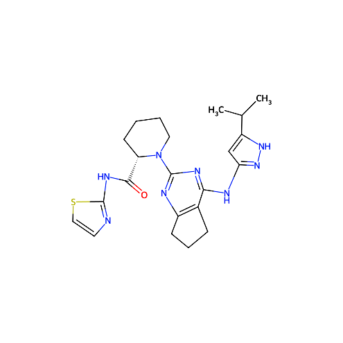 CC(C)c1cc(Nc2nc(N3CCCC[C@H]3C(=O)Nc3nccs3)nc3c2CCC3)n[nH]1